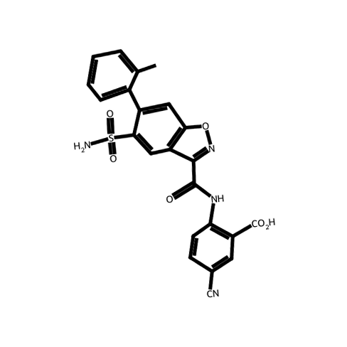 Cc1ccccc1-c1cc2onc(C(=O)Nc3ccc(C#N)cc3C(=O)O)c2cc1S(N)(=O)=O